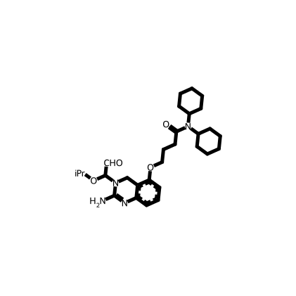 CC(C)OC(C=O)N1Cc2c(cccc2OCCCC(=O)N(C2CCCCC2)C2CCCCC2)N=C1N